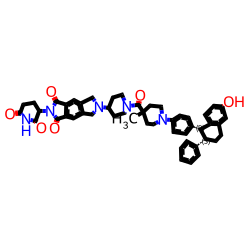 CC1(C(=O)N2CCC(N3Cc4cc5c(cc4C3)C(=O)N(C3CCC(=O)NC3=O)C5=O)CC2)CCN(c2ccc([C@@H]3c4ccc(O)cc4CC[C@@H]3c3ccccc3)cc2)CC1